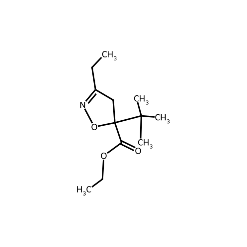 CCOC(=O)C1(C(C)(C)C)CC(CC)=NO1